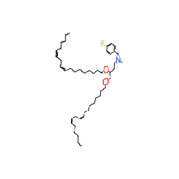 CCCCC/C=C\C/C=C\CCCCCCCCOCC(CCN(C)Cc1ccc(F)cc1)OCCCCCCCC/C=C\C/C=C\CCCCC